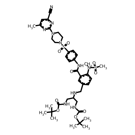 Cc1cc(C#N)nc(N2CCN(S(=O)(=O)c3ccc(NC(=O)c4cc(CNC(CNC(=O)OC(C)(C)C)CNC(=O)OC(C)(C)C)ccc4N(C)S(C)(=O)=O)cc3)CC2)n1